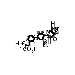 CCOc1cc(-c2cccc(CC(C)C(=O)O)c2)ccc1-c1nc2[nH]nnc2c(=O)[nH]1